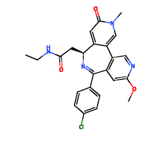 CCNC(=O)C[C@@H]1N=C(c2ccc(Cl)cc2)c2cc(OC)ncc2-c2cn(C)c(=O)cc21